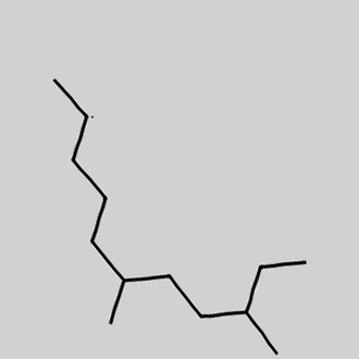 C[CH]CCCC(C)CCC(C)CC